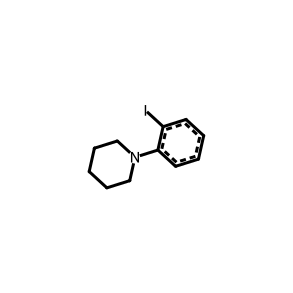 Ic1ccccc1N1CCCCC1